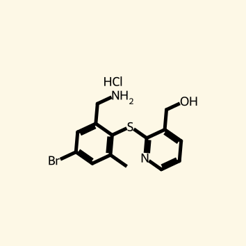 Cc1cc(Br)cc(CN)c1Sc1ncccc1CO.Cl